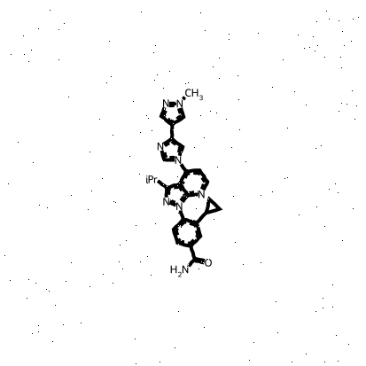 CC(C)c1nn(-c2ccc(C(N)=O)cc2C2CC2)c2nccc(-n3cnc(-c4cnn(C)c4)c3)c12